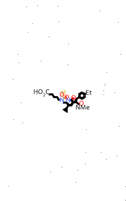 CCc1ccc(-c2oc3nc(CN(CCCCCC(=O)O)[SH](=O)=O)c(C4CC4)cc3c2C(=O)NC)cc1